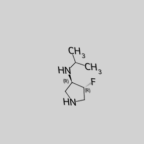 CC(C)N[C@@H]1CNC[C@H]1F